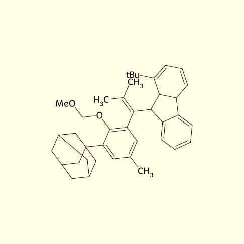 COCOc1c(C(=C(C)C)C2c3ccccc3C3C=CC=C(C(C)(C)C)C32)cc(C)cc1C12CC3CC(CC(C3)C1)C2